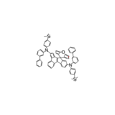 C[Si](C)(C)c1ccc(N(c2cccc(-c3ccccc3)c2)c2ccc3c(c2)C2(c4ccccc4Oc4ccccc42)c2c-3c3ccccc3c3cc(N(c4ccc([Si](C)(C)C)cc4)c4cccc(-c5ccccc5)c4)ccc23)cc1